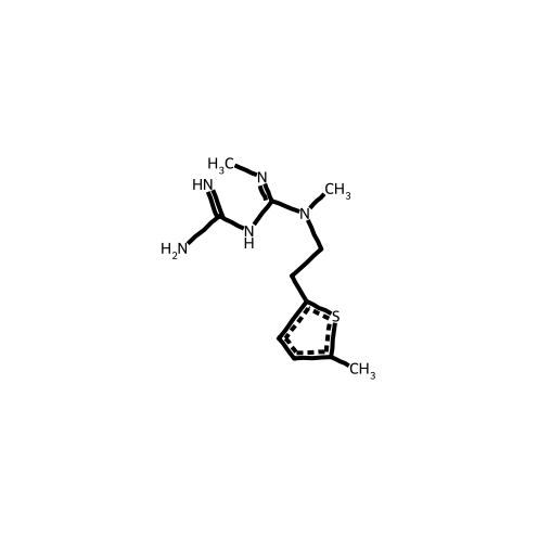 C/N=C(\NC(=N)N)N(C)CCc1ccc(C)s1